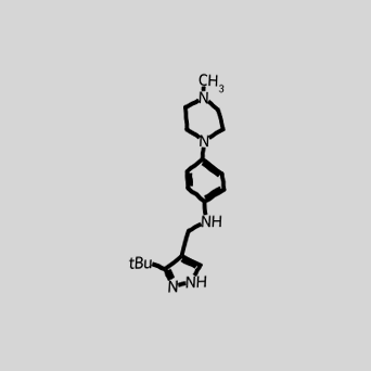 CN1CCN(c2ccc(NCc3c[nH]nc3C(C)(C)C)cc2)CC1